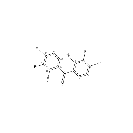 O=C(c1ccc(I)c(F)c1F)c1ccc(I)c(F)c1F